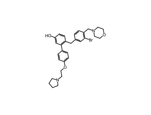 Oc1ccc(Cc2ccc(CN3CCOCC3)c(Br)c2)c(-c2ccc(OCCN3CCCC3)cc2)c1